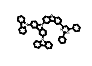 c1ccc(-c2cc(-c3ccc4sc5ccc(-n6c7ccc(-n8c9ccccc9c9ccccc98)cc7c7cc(-n8c9ccccc9c9ccccc98)ccc76)cc5c4c3)nc(-c3ccccc3)n2)cc1